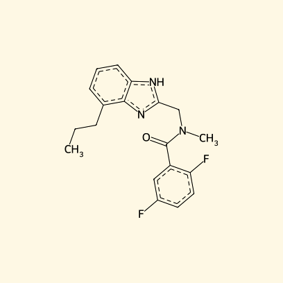 CCCc1cccc2[nH]c(CN(C)C(=O)c3cc(F)ccc3F)nc12